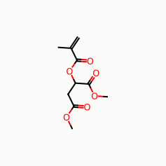 C=C(C)C(=O)OC(CC(=O)OC)C(=O)OC